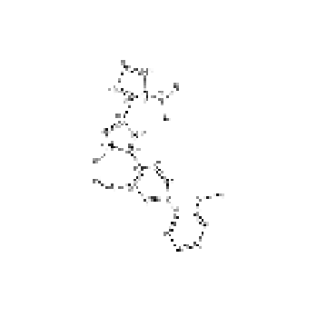 CCc1ccccc1-c1ccc2c(c1)OCCn1cc(-c3ncnn3C(C)C)nc1-2